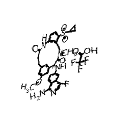 COc1cc2cc(c1)[C@@H](Nc1ccc3c(N)ncc(F)c3c1)C(=O)N(C)Cc1cc(ccc1S(=O)(=O)C1CC1)NC(=O)CC2.O=C(O)C(F)(F)F